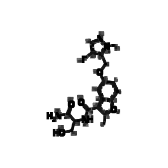 Cc1oc2ccc(OCc3c(F)cnn3C)cc2c1C(=O)NC(CO)C(N)=O